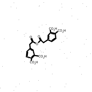 O=C(Cc1ccc(C(=O)O)c(C(=O)O)c1)OC(=O)Cc1ccc(C(=O)O)c(C(=O)O)c1